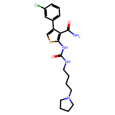 NC(=O)c1c(-c2cccc(Cl)c2)csc1NC(=O)NCCCCN1CCCC1